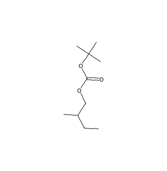 CCC(C)COC(=O)OC(C)(C)C